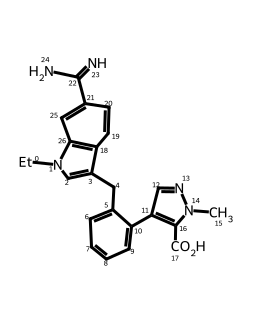 CCn1cc(Cc2ccccc2-c2cnn(C)c2C(=O)O)c2ccc(C(=N)N)cc21